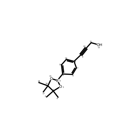 CC1(C)OB(c2ccc(C#CCO)cc2)OC1(C)C